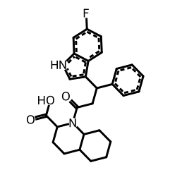 O=C(O)C1CCC2CCCCC2N1C(=O)CC(c1ccccc1)c1c[nH]c2cc(F)ccc12